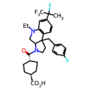 CCN1CC2N(C(=O)[C@H]3CC[C@H](C(=O)O)CC3)CCC2(Cc2ccc(F)cc2)c2ccc(C(C)(F)C(F)(F)F)cc21